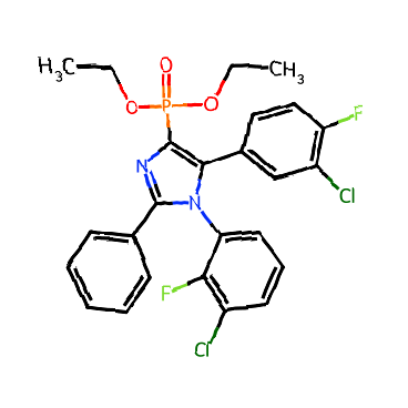 CCOP(=O)(OCC)c1nc(-c2ccccc2)n(-c2cccc(Cl)c2F)c1-c1ccc(F)c(Cl)c1